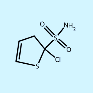 NS(=O)(=O)C1(Cl)CC=CS1